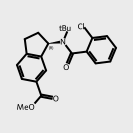 COC(=O)c1ccc2c(c1)[C@H](N(C(=O)c1ccccc1Cl)C(C)(C)C)CC2